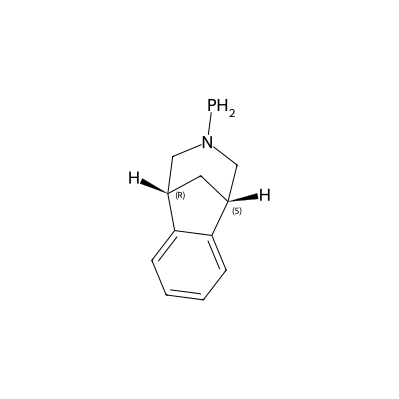 PN1C[C@H]2C[C@@H](C1)c1ccccc12